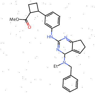 CCN(Cc1ccccc1)C1N=C(Nc2cccc(C3CCC3C(=O)OC)c2)N=C2CCC=C21